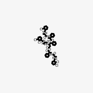 O=C(CC(NC(=O)c1csc(-c2cccc(Cl)c2Cl)n1)C(OC(=O)C(CNC(=O)c1csc(-c2ccccc2Cl)n1)c1ccccc1)c1ccccc1)OC(=O)C(CNC(=O)c1csc(-c2cccc(Cl)c2Cl)n1)c1ccccc1